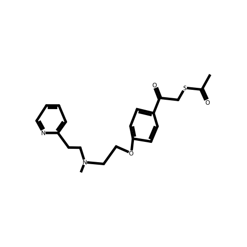 CC(=O)SCC(=O)c1ccc(OCCN(C)CCc2ccccn2)cc1